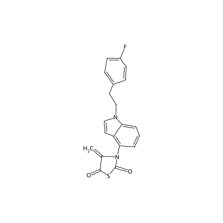 C=C1C(=O)SC(=O)N1c1cccc2c1ccn2CCc1ccc(F)cc1